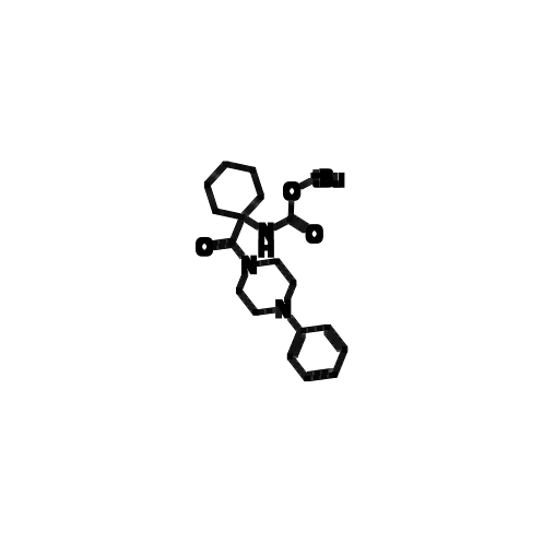 CC(C)(C)OC(=O)NC1(C(=O)N2CCN(c3ccccc3)CC2)CCCCC1